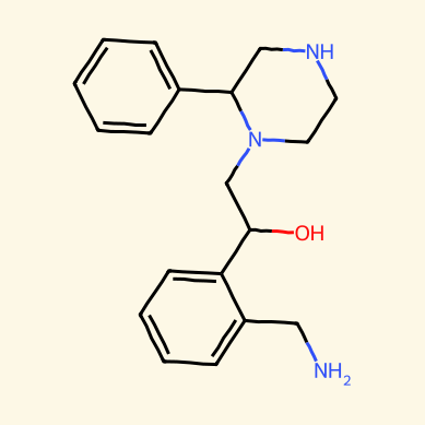 NCc1ccccc1C(O)CN1CCNCC1c1ccccc1